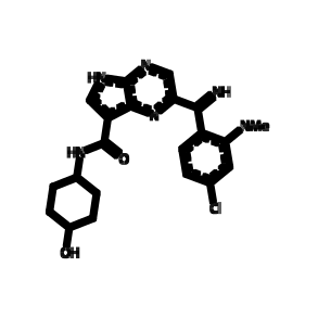 CNc1cc(Cl)ccc1C(=N)c1cnc2[nH]cc(C(=O)NC3CCC(O)CC3)c2n1